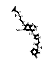 COc1cc2c(Nc3cnn(CC(=O)Nc4cccc(F)c4F)c3)ncnc2cc1OCCCNCC1CC1